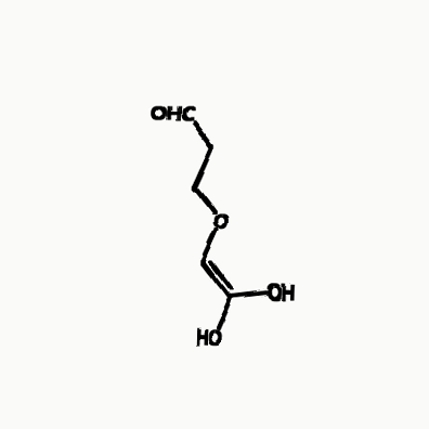 O=CCCOC=C(O)O